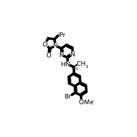 COc1ccc2cc([C@H](C)Nc3nccc(N4C(=O)OCC4C(C)C)n3)ccc2c1Br